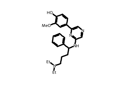 CCN(CC)CCCC(Nc1cncc(-c2ccc(O)c(OC)c2)n1)c1ccccc1